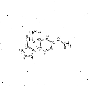 Cc1ncsc1-c1ccc(CN)cc1.Cl